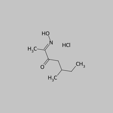 CCC(C)CC(=O)C(C)=NO.Cl